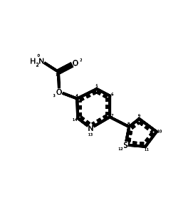 NC(=O)Oc1ccc(-c2cccs2)nc1